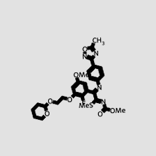 COC(=O)/N=C(SC)/C(=N/c1ccc(-c2noc(C)n2)cc1)c1cc(OC)cc(OCCOC2CCCCO2)c1F